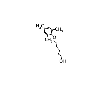 Cc1cc(C)c(OCCCCCCO)c(C)c1